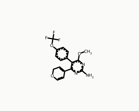 COc1nc(N)nc(C2=CCOC=C2)c1-c1ccc(OC(F)(F)F)cc1